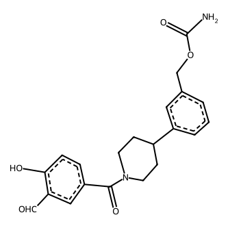 NC(=O)OCc1cccc(C2CCN(C(=O)c3ccc(O)c(C=O)c3)CC2)c1